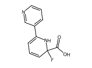 O=C(O)C1(F)C=CC=C(c2cccnc2)N1